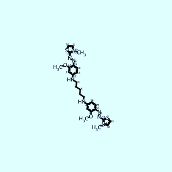 COc1cc(NCCCCCNc2ccc(/N=N/c3scc[n+]3C)c(OC)c2)ccc1/N=N/c1scc[n+]1C